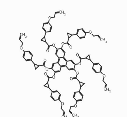 C=CCOc1ccc(C2CC2C(=O)Oc2cc3c4cc(OC(=O)C5CC5c5ccc(OCC=C)cc5)c(OC(=O)C5CC5c5ccc(OCC=C)cc5)cc4c4cc(OC(=O)C5CC5c5ccc(OCC=C)cc5)c(OC(=O)C5CC5c5ccc(OCC=C)cc5)cc4c3cc2OC(=O)C2CC2c2ccc(OCC=C)cc2)cc1